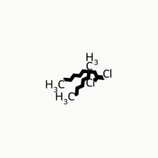 CCCCCCC(C)(CCCCCC)C/C(Cl)=C\Cl